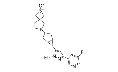 CCn1nc(-c2cncc(F)c2)cc1C1C2CC(N3CCC4(C3)C[S+]([O-])C4)CC21